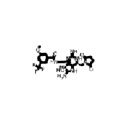 COc1cc(C(=O)NC2CN3C(=N)N[C@@H](CN4C(=O)CCC4=O)C4NC(N)NC43[C@@H]2O)cc(C(F)(F)F)c1